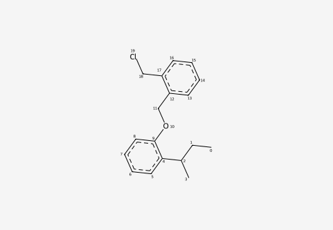 CCC(C)c1ccccc1OCc1ccccc1CCl